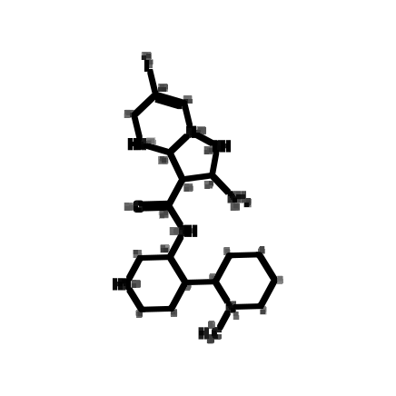 CN1CCCCC1C1CCNCC1NC(=O)C1C(N)NN2C=C(F)CNC12